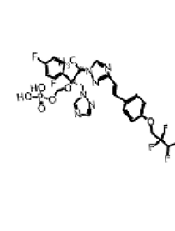 C[C@@H](n1cnc(C=Cc2ccc(OCC(F)(F)C(F)F)cc2)n1)[C@@](Cn1cncn1)(OCOP(=O)(O)O)c1ccc(F)cc1F